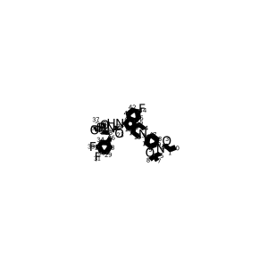 C=CC(=O)N1CC(C)(C)Oc2cc(N3CCC4(CC3)C[C@H](NC(=O)N[C@H](Cc3ccc(F)c(F)c3)CS(C)(=O)=O)c3ccc(F)cc34)ccc21